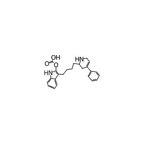 O=C(O)Oc1[nH]c2ccccc2c1CCCCC1CC(c2ccccc2)=CCN1